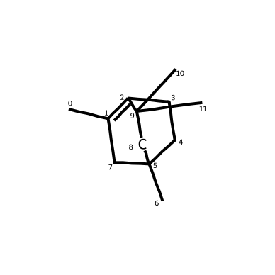 CC1=C2CCC(C)(C1)CC2(C)C